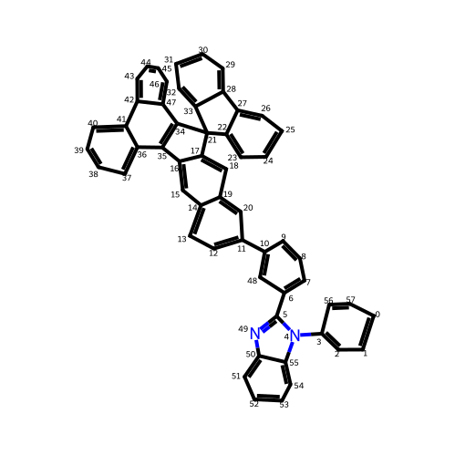 c1ccc(-n2c(-c3cccc(-c4ccc5cc6c(cc5c4)C4(c5ccccc5-c5ccccc54)c4c-6c5ccccc5c5ccccc45)c3)nc3ccccc32)cc1